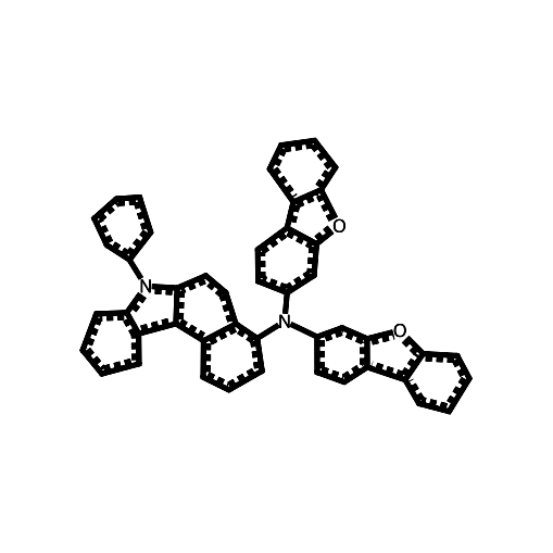 c1ccc(-n2c3ccccc3c3c4cccc(N(c5ccc6c(c5)oc5ccccc56)c5ccc6c(c5)oc5ccccc56)c4ccc32)cc1